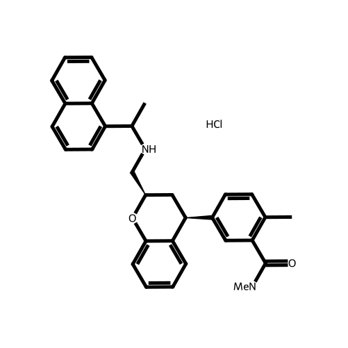 CNC(=O)c1cc([C@@H]2C[C@H](CNC(C)c3cccc4ccccc34)Oc3ccccc32)ccc1C.Cl